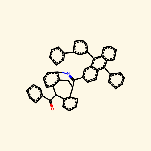 O=C(c1ccccc1)C1c2ccccc2C2Cc3c(cccc31)N=C2c1ccc2c(-c3ccccc3)c3ccccc3c(-c3cccc(-c4ccccc4)c3)c2c1